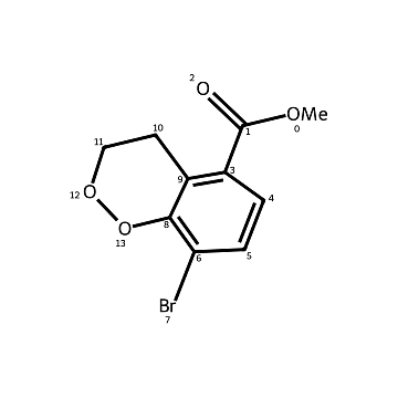 COC(=O)c1ccc(Br)c2c1CCOO2